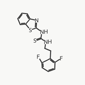 Fc1cccc(F)c1CCNC(=S)Nc1nc2ccccc2s1